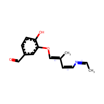 C\C=N/C=C\C(C)=C\Oc1cc(C=O)ccc1O